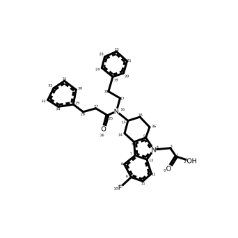 O=C(O)Cn1c2c(c3cc(F)ccc31)CC(N(CCc1ccccc1)C(=O)CCc1ccccc1)CC2